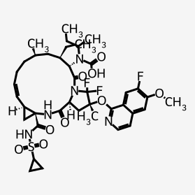 CCC(C)N(C(=O)O)[C@@H]1C(=O)N2[C@@H](C[C@@](C)(Oc3nccc4cc(OC)c(F)cc34)C2(F)F)C(=O)N[C@]2(C(=O)NS(=O)(=O)C3CC3)C[C@H]2/C=C\CC[C@@H](C)C[C@H]1CC